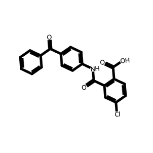 O=C(c1ccccc1)c1ccc(NC(=O)c2cc(Cl)ccc2C(=O)O)cc1